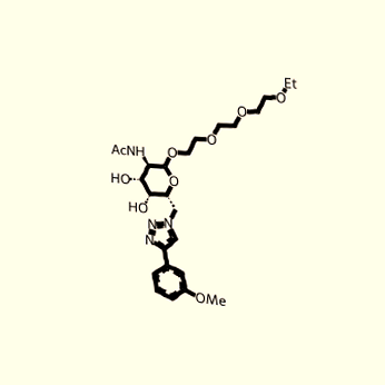 CCOCCOCCOCCOC1O[C@H](Cn2cc(-c3cccc(OC)c3)nn2)[C@H](O)[C@H](O)[C@H]1NC(C)=O